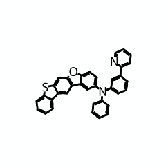 c1ccc(N(c2cccc(-c3ccccn3)c2)c2ccc3oc4cc5sc6ccccc6c5cc4c3c2)cc1